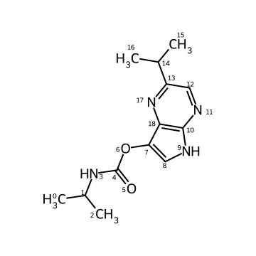 CC(C)NC(=O)Oc1c[nH]c2ncc(C(C)C)nc12